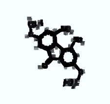 O=C(O)Oc1cc2c(c([N+](=O)[O-])c1)-c1c(cc(OC(=O)O)cc1[N+](=O)[O-])C2=O